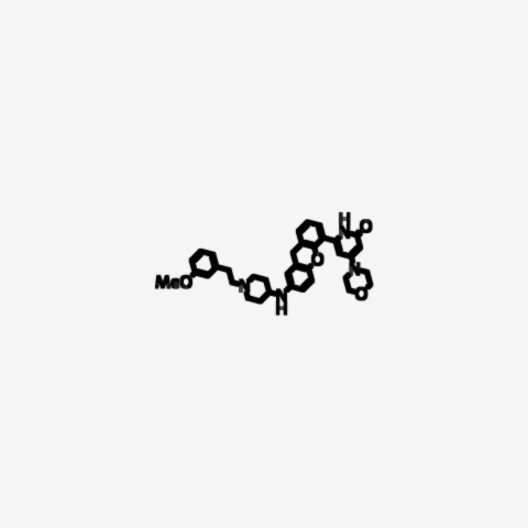 COc1cccc(CCN2CCC(Nc3ccc4c(c3)Cc3cccc(-c5cc(N6CCOCC6)cc(=O)[nH]5)c3O4)CC2)c1